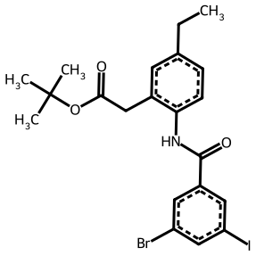 CCc1ccc(NC(=O)c2cc(Br)cc(I)c2)c(CC(=O)OC(C)(C)C)c1